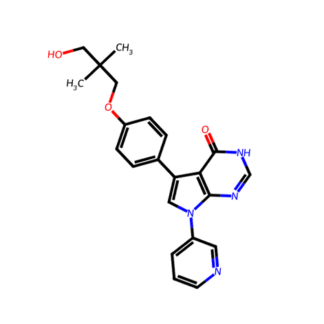 CC(C)(CO)COc1ccc(-c2cn(-c3cccnc3)c3nc[nH]c(=O)c23)cc1